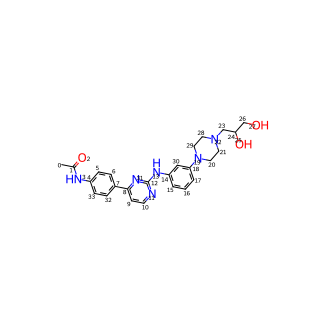 CC(=O)Nc1ccc(-c2ccnc(Nc3cccc(N4CCN(CC(O)CO)CC4)c3)n2)cc1